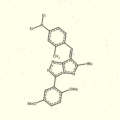 CCN(CC)c1ccc(/C=c2/c(C(C)(C)C)nn3c(-c4cc(OC)ccc4OC)nnc23)c(C)c1